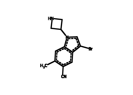 Cc1cc2c(cc1C#N)c(Br)cn2C1CNC1